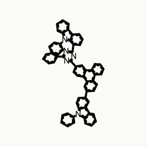 c1ccc(-c2nc(-c3ccc4c5cc(-c6ccc7c(c6)c6ccccc6n7-c6ccccc6)ccc5c5ccccc5c4c3)nc(-c3cccc4c5ccccc5n(-c5ccccc5)c34)n2)cc1